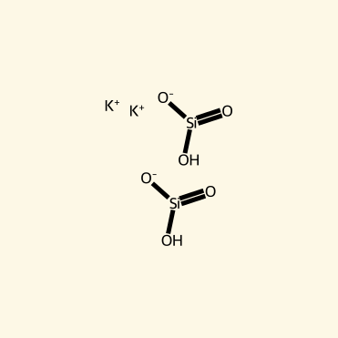 O=[Si]([O-])O.O=[Si]([O-])O.[K+].[K+]